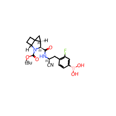 CC(C)(C)OC(=O)N1[C@H](C(=O)N[C@H](C#N)Cc2ccc(B(O)O)cc2F)[C@@H]2CC23CC[C@@H]13